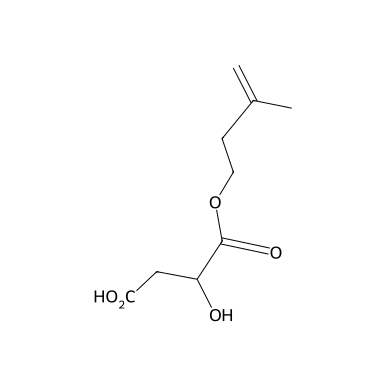 C=C(C)CCOC(=O)C(O)CC(=O)O